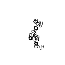 O=C(O)N1CCC(Oc2ncnc3c2c(-c2ccccc2Cl)cn3CC(=O)N2CCC(n3c(=O)[nH]c4ncccc43)CC2)C1